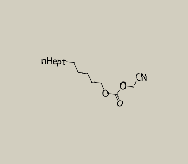 CCCCCCCCCCCCOC(=O)OCC#N